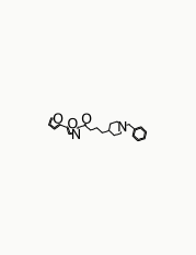 O=C(CCCC1CCN(Cc2ccccc2)CC1)c1ncc(-c2ccco2)o1